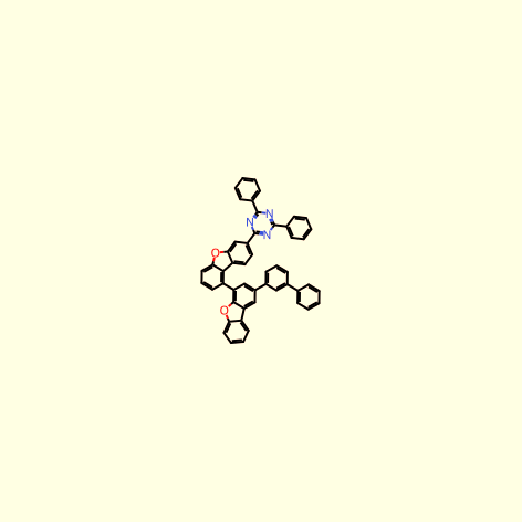 c1ccc(-c2cccc(-c3cc(-c4cccc5oc6cc(-c7nc(-c8ccccc8)nc(-c8ccccc8)n7)ccc6c45)c4oc5ccccc5c4c3)c2)cc1